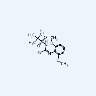 COc1cccc(OC)c1/N=C(/S)NS(=O)(=O)C(C)(C)C